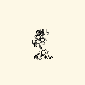 COC1(c2cc(F)cc(C#CC(c3ccccc3)c3ncoc3-c3ccc(S(N)(=O)=O)cc3)c2)CCOCC1